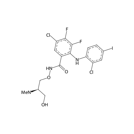 CN[C@H](CO)CONC(=O)c1cc(Cl)c(F)c(F)c1Nc1ccc(I)cc1Cl